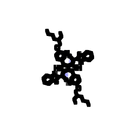 CCCCC(CC)COc1ccc(-c2[nH]/c(=C(/C#N)c3nc4ccccc4s3)c3c(-c4ccc(OCC(CC)CCCC)cc4)[nH]/c(=C(/C#N)c4nc5ccccc5s4)c23)cc1